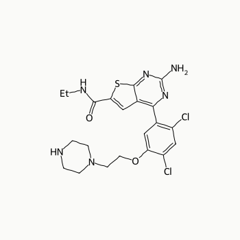 CCNC(=O)c1cc2c(-c3cc(OCCN4CCNCC4)c(Cl)cc3Cl)nc(N)nc2s1